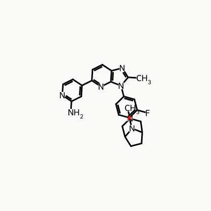 Cc1nc2ccc(-c3ccnc(N)c3)nc2n1-c1ccc(N2C3CCC2CN(C)C3)c(F)c1